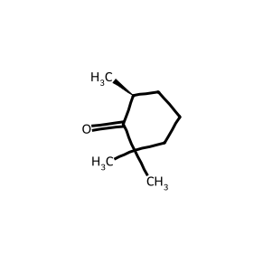 C[C@H]1CCCC(C)(C)C1=O